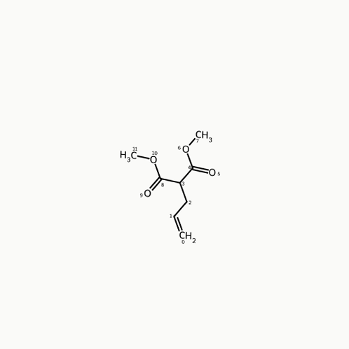 C=CCC(C(=O)OC)C(=O)OC